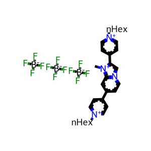 CCCCCC[n+]1ccc(-c2ccn3cc(-c4cc[n+](CCCCCC)cc4)[n+](C)c3c2)cc1.F[B-](F)(F)F.F[B-](F)(F)F.F[B-](F)(F)F